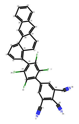 N#Cc1cc(-c2c(F)c(F)c(-c3cccc4c3ccc3cc5ccccc5cc34)c(F)c2F)cc(C#N)c1C#N